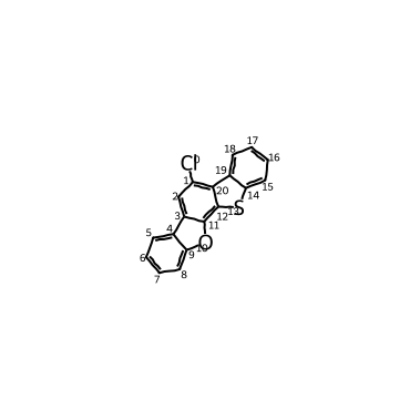 Clc1cc2c3ccccc3oc2c2sc3ccccc3c12